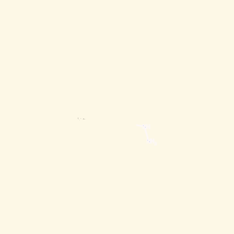 COc1c(F)cc(NN)cc1F.Cl